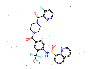 CC(F)(F)c1cc(C(=O)N2CCN(C(=O)c3ncccc3F)CC2)ccc1N[S+]([O-])c1cccc2cccnc12